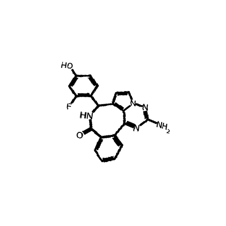 Nc1nc2c3c(ccn3n1)C(c1ccc(O)cc1F)NC(=O)c1ccccc1-2